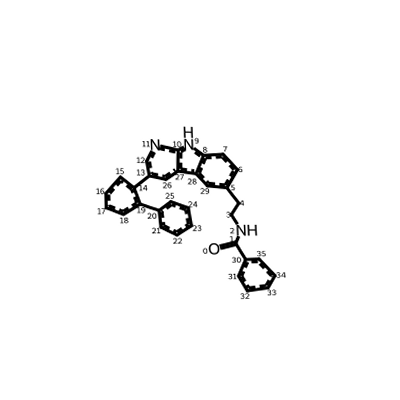 O=C(NCCc1ccc2[nH]c3ncc(-c4ccccc4-c4ccccc4)cc3c2c1)c1ccccc1